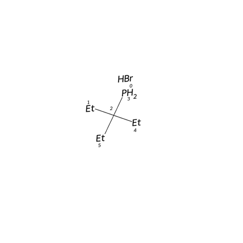 Br.CCC(P)(CC)CC